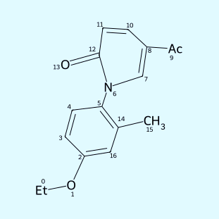 CCOc1ccc(-n2cc(C(C)=O)ccc2=O)c(C)c1